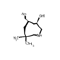 CC1(C)C[C@@H](O)[C@@H](O)CN1